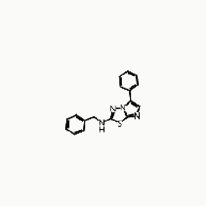 c1ccc(CNc2nn3c(-c4ccccc4)cnc3s2)cc1